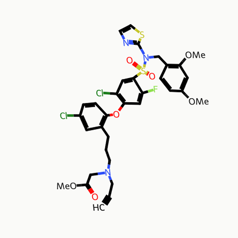 C#CCN(CCCc1cc(Cl)ccc1Oc1cc(F)c(S(=O)(=O)N(Cc2ccc(OC)cc2OC)c2nccs2)cc1Cl)CC(=O)OC